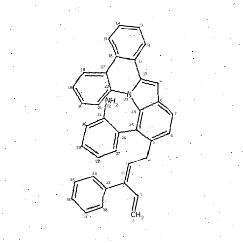 C=C/C(=C\Cc1ccc2cc3c4ccccc4c4ccccc4n3c2c1-c1ccccc1N)c1ccccc1